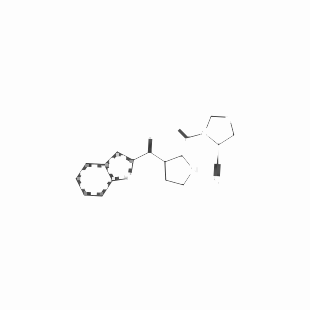 N#C[C@@H]1CSCN1C(=O)[C@@H]1NCCC1C(=O)c1cc2ccccc2o1